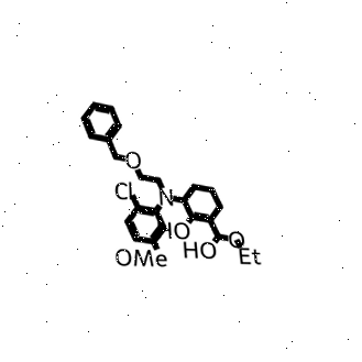 CCOC(O)C1=C(O)C(N(CCOCc2ccccc2)c2cc(OC)ccc2Cl)CCC1